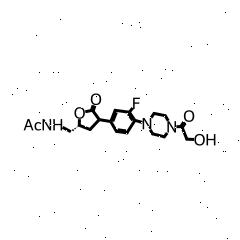 CC(=O)NC[C@H]1CC(c2ccc(N3CCN(C(=O)CO)CC3)c(F)c2)C(=O)O1